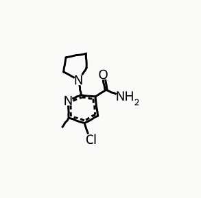 Cc1nc(N2CCCC2)c(C(N)=O)cc1Cl